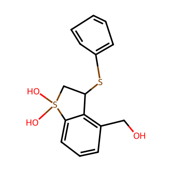 OCc1cccc2c1C(Sc1ccccc1)CS2(O)O